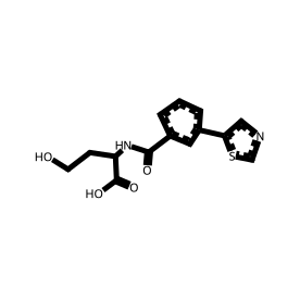 O=C(NC(CCO)C(=O)O)c1cccc(-c2cncs2)c1